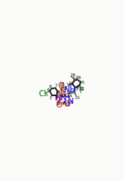 COc1cc(Cl)ccc1S(=O)(=O)N[C@H](c1noc(=O)[nH]1)[C@H](C)c1c(F)ccc(C)c1C